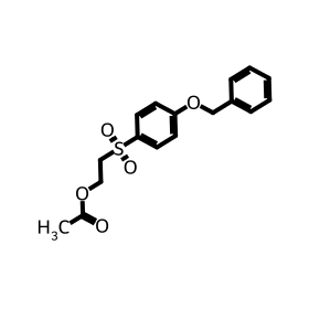 CC(=O)OCCS(=O)(=O)c1ccc(OCc2ccccc2)cc1